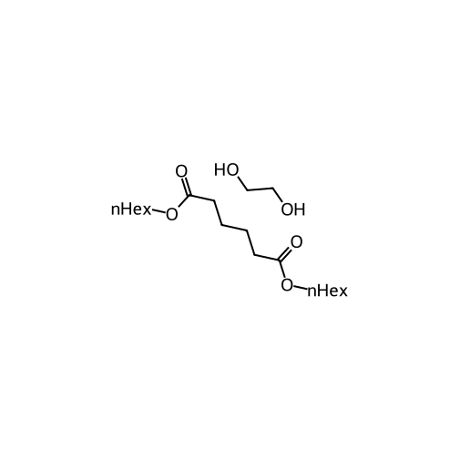 CCCCCCOC(=O)CCCCC(=O)OCCCCCC.OCCO